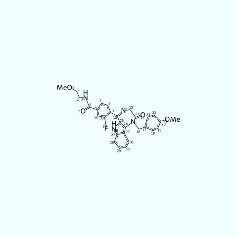 COCCNC(=O)c1ccc(C2=NCC(=O)N(Cc3ccc(OC)cc3)c3c2[nH]c2ccccc32)c(F)c1